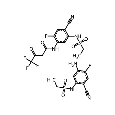 CCS(=O)(=O)Nc1cc(N)c(F)cc1C#N.CCS(=O)(=O)Nc1cc(NC(=O)CC(=O)C(F)(F)F)c(F)cc1C#N